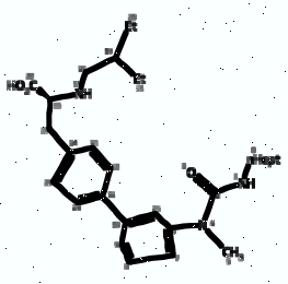 CCCCCCCNC(=O)N(C)c1cccc(-c2ccc(C[C@H](NCC(CC)CC)C(=O)O)cc2)c1